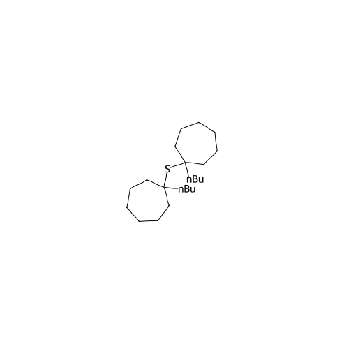 CCCCC1(SC2(CCCC)CCCCCC2)CCCCCC1